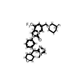 C[C@H]1CCCN(Cc2cc(C(F)(F)F)c3cn(-c4cccc([C@@H](c5nncn5C)C5CCOCC5)c4)c(=O)n3c2)C1